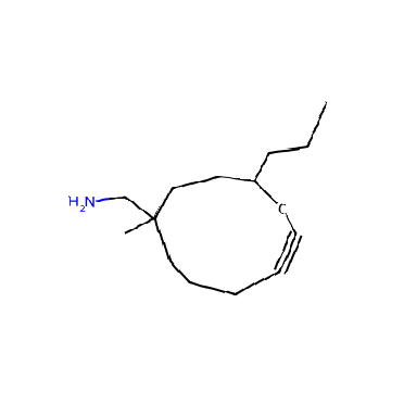 CCCC1CC#CCCCC(C)(CN)CC1